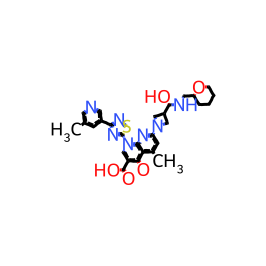 Cc1cncc(-c2nsc(-n3cc(C(=O)O)c(=O)c4c(C)cc(N5CC([C@@H](O)NCC6CCCCO6)C5)nc43)n2)c1